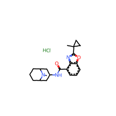 CN1C2CCCC1CC(NC(=O)c1cccc3oc(C4(C)CC4)nc13)C2.Cl